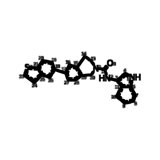 O=C(Nc1c[nH]c2ccccc12)N1CCc2cc(-c3ccc4sccc4c3)ccc2C1